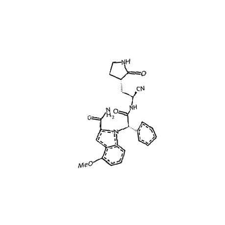 COc1cccc2c1cc(C(N)=O)n2[C@H](C(=O)N[C@H](C#N)C[C@@H]1CCNC1=O)c1ccccc1